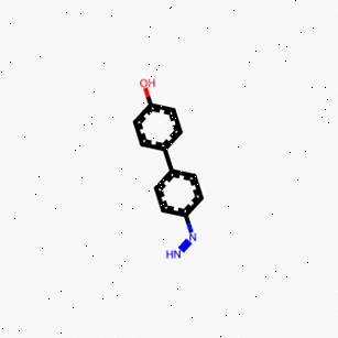 N=Nc1ccc(-c2ccc(O)cc2)cc1